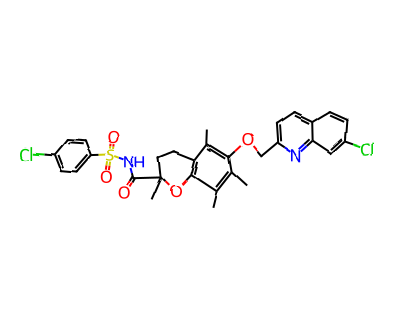 Cc1c(C)c2c(c(C)c1OCc1ccc3ccc(Cl)cc3n1)CCC(C)(C(=O)NS(=O)(=O)c1ccc(Cl)cc1)O2